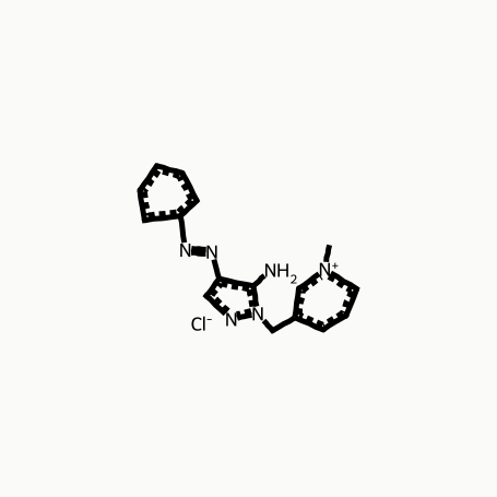 C[n+]1cccc(Cn2ncc(/N=N/c3ccccc3)c2N)c1.[Cl-]